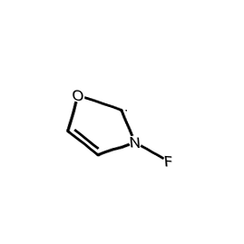 FN1[CH]OC=C1